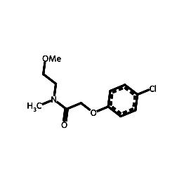 COCCN(C)C(=O)COc1ccc(Cl)cc1